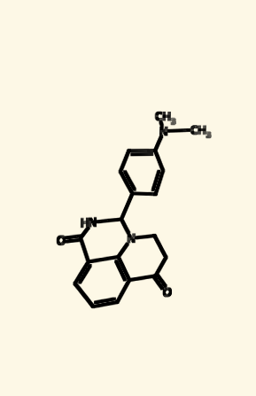 CN(C)c1ccc(C2NC(=O)c3cccc4c3N2CCC4=O)cc1